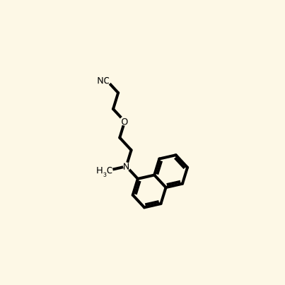 CN(CCOCCC#N)c1cccc2ccccc12